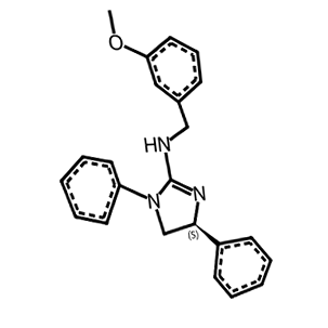 COc1cccc(CNC2=N[C@@H](c3ccccc3)CN2c2ccccc2)c1